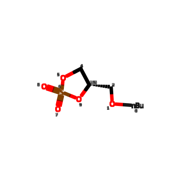 CCCCOC[C@H]1COS(=O)(=O)O1